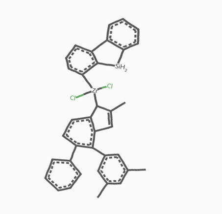 CC1=Cc2c(ccc(-c3ccccc3)c2-c2cc(C)cc(C)c2)[CH]1[Zr]([Cl])([Cl])[c]1cccc2c1[SiH2]c1ccccc1-2